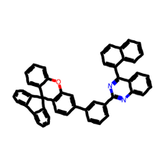 c1cc(-c2ccc3c(c2)Oc2ccccc2C32c3ccccc3-c3ccccc32)cc(-c2nc(-c3cccc4ccccc34)c3ccccc3n2)c1